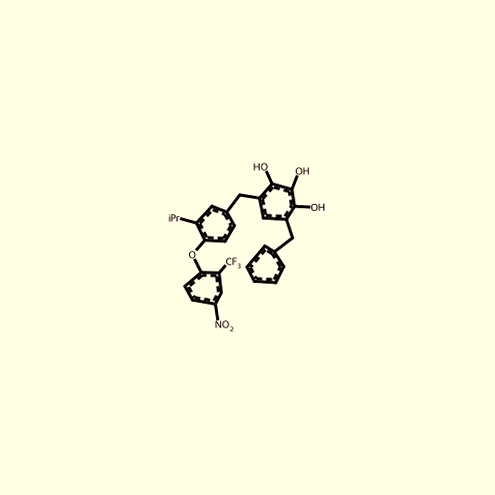 CC(C)c1cc(Cc2cc(Cc3ccccc3)c(O)c(O)c2O)ccc1Oc1ccc([N+](=O)[O-])cc1C(F)(F)F